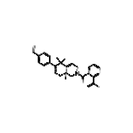 C=Cc1ccc(C2=CCC3(C)CN(C(=C)c4ccccc4C(=C)C)CC=C3C2(C)C)cc1